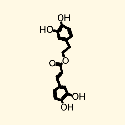 O=C(C=Cc1ccc(O)c(O)c1)OCCc1ccc(O)c(O)c1